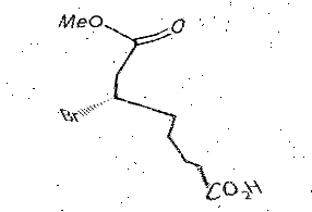 COC(=O)[C@@H](Br)CCC(=O)O